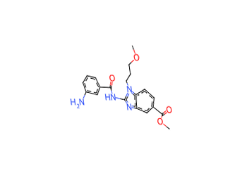 COCCCn1c(NC(=O)c2cccc(N)c2)nc2cc(C(=O)OC)ccc21